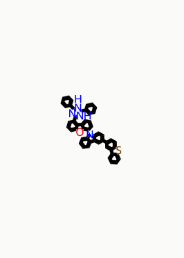 c1ccc(C2N=C(c3cccc4oc5c(-n6c7ccccc7c7cc(-c8ccc9sc%10ccccc%10c9c8)ccc76)cccc5c34)NC(c3ccccc3)N2)cc1